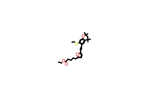 CCOC(=O)CCCCc1ccc(C#Cc2cc3c(cc2SCC)OC(C)(C)CC3(C)C)o1